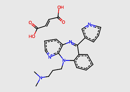 CN(C)CCCN1c2ccccc2C(c2cccnc2)=Nc2cccnc21.O=C(O)C=CC(=O)O